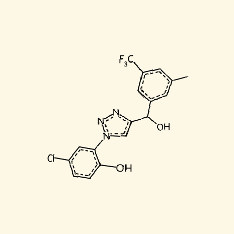 Cc1cc(C(O)c2cn(-c3cc(Cl)ccc3O)nn2)cc(C(F)(F)F)c1